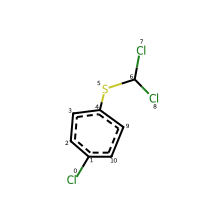 Clc1ccc(SC(Cl)Cl)cc1